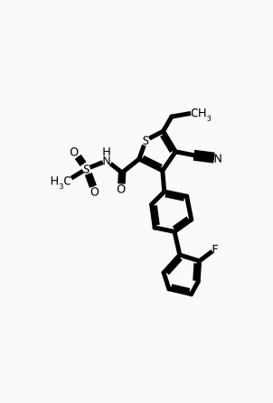 CCc1sc(C(=O)NS(C)(=O)=O)c(-c2ccc(-c3ccccc3F)cc2)c1C#N